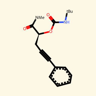 CNC(=O)[C@H](CC#Cc1ccccc1)OC(=O)NC(C)(C)C